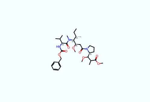 CC[C@H](C)[C@@H]([C@@H](CC(=O)N1CCC[C@H]1C(OC)C(C)C(=O)OC)OC)N(C)C(=O)[C@@H](NC(=O)OCc1ccccc1)C(C)C